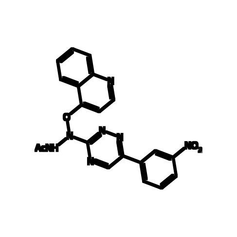 CC(=O)NN(Oc1ccnc2ccccc12)c1ncc(-c2cccc([N+](=O)[O-])c2)nn1